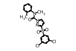 Cc1ccccc1N(C)C(=O)n1ccc(S(=O)(=O)c2cc(Cl)cc(Cl)c2)n1